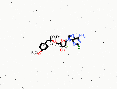 CCOC(=O)C(Cc1ccc(OC(F)(F)F)cc1)(OC[C@H]1O[C@@H](n2cnc3c(N)nc(Cl)nc32)[C@@H](F)[C@@H]1O)C(=O)OCC